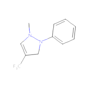 CN1C=C(C(F)(F)F)CN1c1ccccc1